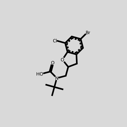 CC(C)(C)N(CC1Cc2cc(Br)cc(Cl)c2O1)C(=O)O